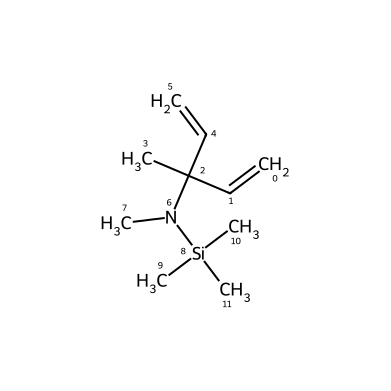 C=CC(C)(C=C)N(C)[Si](C)(C)C